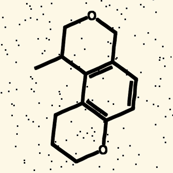 CC1COCc2ccc3c(c21)CCCO3